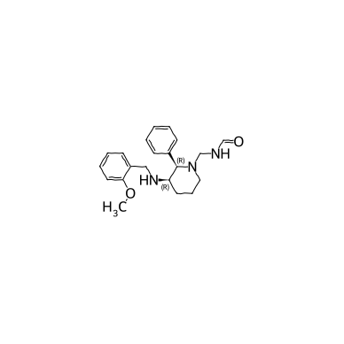 COc1ccccc1CN[C@@H]1CCCN(CNC=O)[C@@H]1c1ccccc1